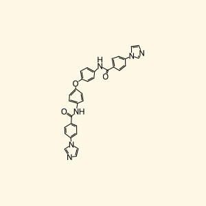 O=C(Nc1ccc(Oc2ccc(NC(=O)c3ccc(-n4ccnc4)cc3)cc2)cc1)c1ccc(-n2ccnc2)cc1